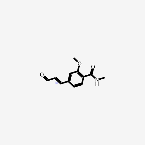 CNC(=O)c1ccc(/C=C/C=O)cc1OC